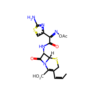 C/C=C\C1=C(C(=O)O)N2C(=O)[C@@H](NC(=O)/C(=N\OC(C)=O)c3csc(N)n3)[C@@H]2SC1